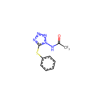 O=C(Nn1nnnc1Sc1ccccc1)C(F)(F)F